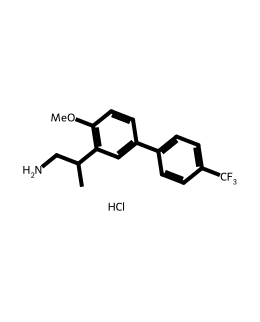 COc1ccc(-c2ccc(C(F)(F)F)cc2)cc1C(C)CN.Cl